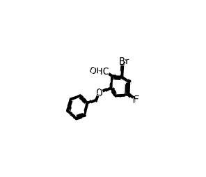 O=Cc1c(Br)cc(F)cc1OCc1ccccc1